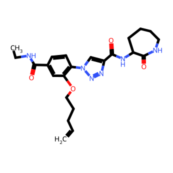 C=CCCCOc1cc(C(=O)NCC)ccc1-n1cc(C(=O)NC2CCCCNC2=O)nn1